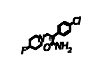 NC(=O)[C@@H](CN1CCC(F)CC1)c1ccc(Cl)cc1